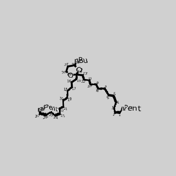 CCCCC/C=C\C/C=C\CCCCCCCCC1(CCCCCCCC/C=C\C/C=C\CCCCC)OCCC(CCCC)O1